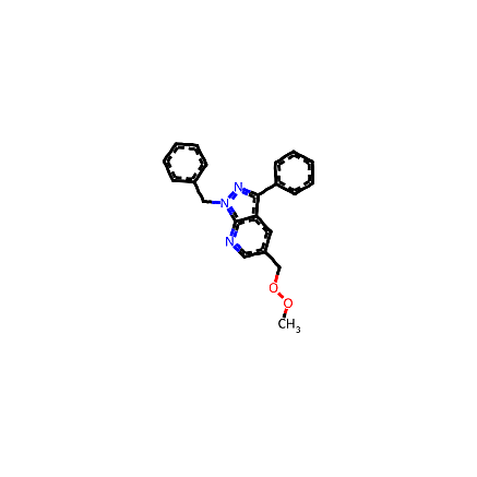 COOCc1cnc2c(c1)c(-c1ccccc1)nn2Cc1ccccc1